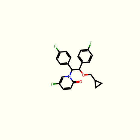 O=c1ccc(F)cn1C(c1ccc(F)cc1)C(OCC1CC1)c1ccc(F)cc1